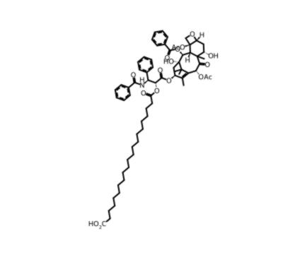 CC(=O)O[C@H]1C(=O)C2(C)[C@@H](O)C[C@H]3OC[C@@]3(OC(C)=O)[C@H]2[C@H](OC(=O)c2ccccc2)[C@]2(O)C[C@H](OC(=O)[C@H](OC(=O)CCCCCCCCCCCCCCCCCCCC(=O)O)[C@@H](NC(=O)c3ccccc3)c3ccccc3)C(C)=C1C2(C)C